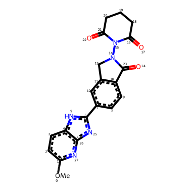 COc1ccc2[nH]c(-c3ccc4c(c3)CN(N3C(=O)CCCC3=O)C4=O)nc2n1